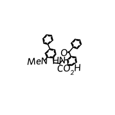 CNc1cc(-c2ccccc2)ccc1CC(Nc1ccccc1C(=O)c1ccccc1)C(=O)O